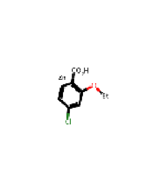 CCOc1cc(Cl)ccc1C(=O)O.[Zn]